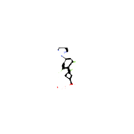 O=C(O)C1CC(F)(c2c(F)cc(CN3CCCC3)cc2F)C1